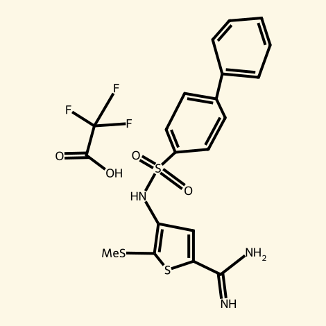 CSc1sc(C(=N)N)cc1NS(=O)(=O)c1ccc(-c2ccccc2)cc1.O=C(O)C(F)(F)F